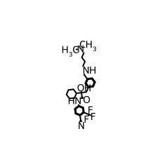 CN(C)CCCCNCc1cccc(CC(O)(C(=O)Nc2ccc(C#N)c(C(F)(F)F)c2)C2CCCCC2)c1